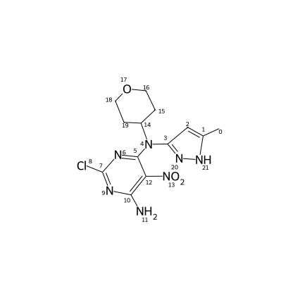 Cc1cc(N(c2nc(Cl)nc(N)c2[N+](=O)[O-])C2CCOCC2)n[nH]1